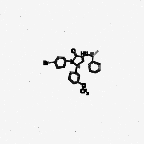 C[C@@H](NC1=C[C@@H](c2cccc(OC(F)(F)F)c2)N(c2ccc(Br)cc2)C1=O)c1ccccc1